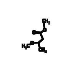 COC(=O)CC(C)OC